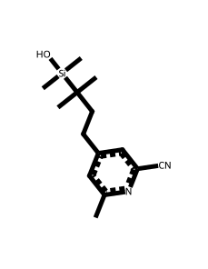 Cc1cc(CCC(C)(C)[Si](C)(C)O)cc(C#N)n1